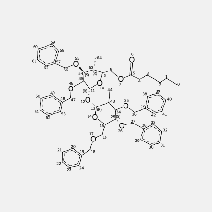 CCCCCC(=O)OCC1O[C@H](O[C@H]2OC(COCc3ccccc3)[C@@H](OCc3ccccc3)C(OCc3ccccc3)C2C)C(OCc2ccccc2)[C@@H](OCc2ccccc2)[C@@H]1C